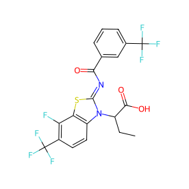 CCC(C(=O)O)n1c(=NC(=O)c2cccc(C(F)(F)F)c2)sc2c(F)c(C(F)(F)F)ccc21